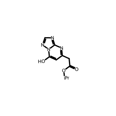 CC(C)OC(=O)Cc1cc(O)n2ncnc2n1